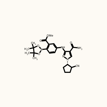 COC(=O)c1cc(Nc2nn([C@H]3CCCC3C#N)cc2C(N)=O)ccc1B1OC(C)(C)C(C)(C)O1